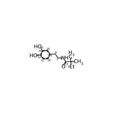 CCC(C)(C)C(=O)NCCc1ccc(O)c(O)c1